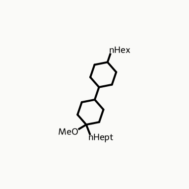 CCCCCCCC1(OC)CCC(C2CCC(CCCCCC)CC2)CC1